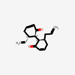 C=CCC1CC=CC(=O)[C@H]1[C@@H]1C(=O)C=CC[C@H]1C=C